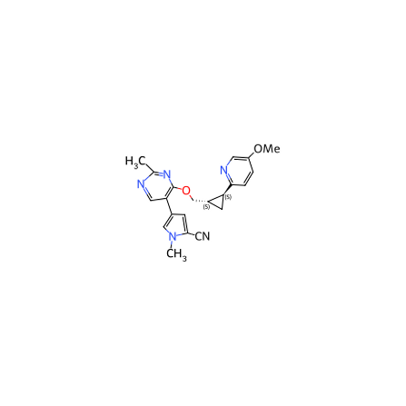 COc1ccc([C@H]2C[C@@H]2COc2nc(C)ncc2-c2cc(C#N)n(C)c2)nc1